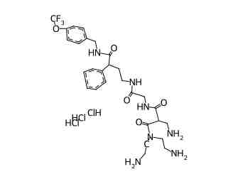 Cl.Cl.Cl.NCCN(CCN)C(=O)C(CN)C(=O)NCC(=O)NCCC(C(=O)NCc1ccc(OC(F)(F)F)cc1)c1ccccc1